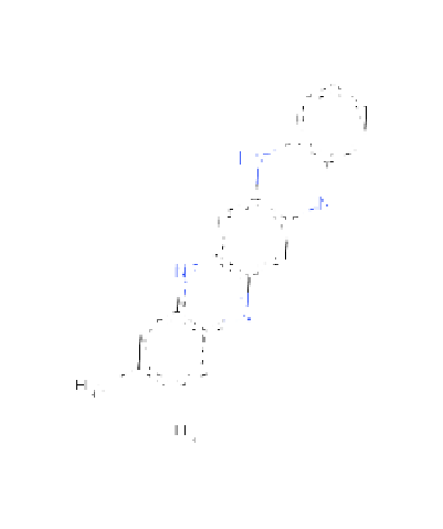 Cc1cc2nc3cc4c(cc3nc2cc1C)Nc1ccccc1N4